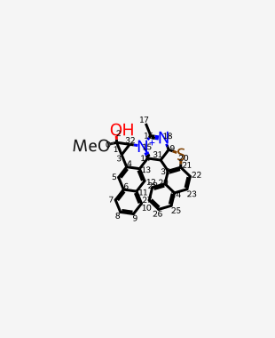 COC1(O)C2c3cc4ccccc4cc3C3=[N+](C(C)=NC4Sc5ccc6ccccc6c5C34)C21